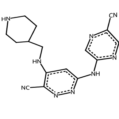 N#Cc1cnc(Nc2cc(NCC3CCNCC3)c(C#N)nn2)cn1